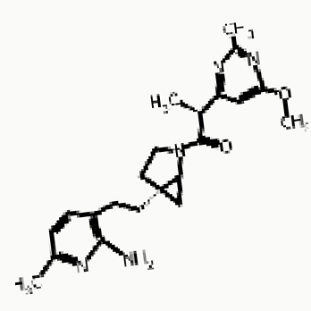 COc1cc([C@H](C)C(=O)N2CC[C@]3(CCc4ccc(C)nc4N)CC23)nc(C)n1